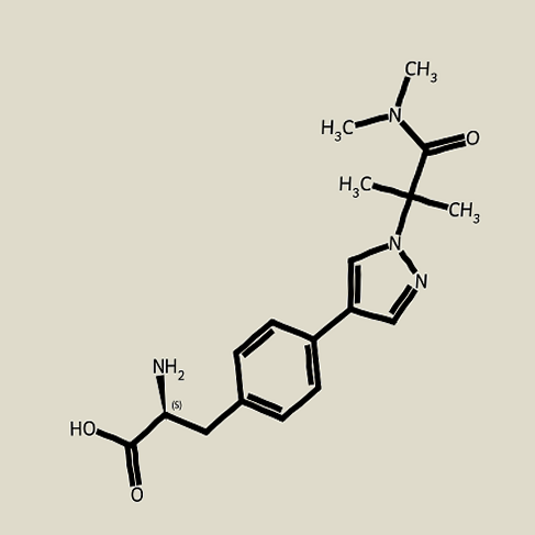 CN(C)C(=O)C(C)(C)n1cc(-c2ccc(C[C@H](N)C(=O)O)cc2)cn1